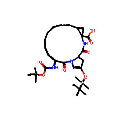 CC(C)(C)OC(=O)NC1CCCCCCCC2CC2(C(=O)O)NC(=O)C2CC(O[Si](C)(C)C(C)(C)C)=CN2C1=O